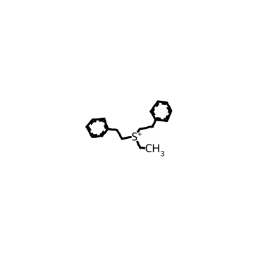 CC[S+](CCc1ccccc1)CCc1ccccc1